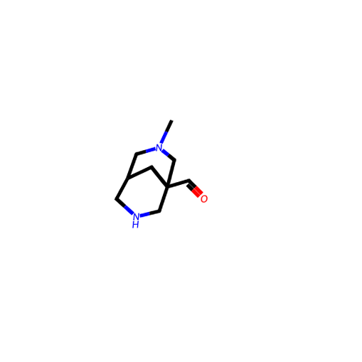 CN1CC2CNCC(C=O)(C2)C1